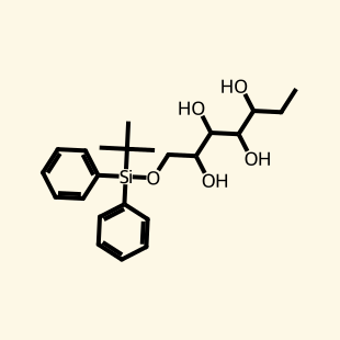 CCC(O)C(O)C(O)C(O)CO[Si](c1ccccc1)(c1ccccc1)C(C)(C)C